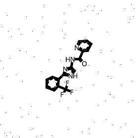 O=C(Nc1c[nH]c(-c2ccccc2C(F)(F)F)n1)c1ccccn1